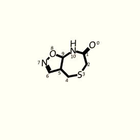 O=C1CSCC2C=NOC2N1